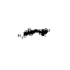 Cc1nn(C)cc1S(=O)(=O)NC(=O)c1ccc(-n2ccc(OCC(C)(CO[Si](c3ccccc3)(c3ccccc3)C(C)(C)C)C(F)(F)F)n2)nc1Cl